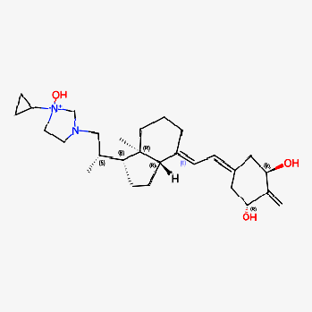 C=C1[C@H](O)CC(=C/C=C2\CCC[C@]3(C)[C@@H]([C@H](C)CN4CC[N+](O)(C5CC5)C4)CC[C@@H]23)C[C@H]1O